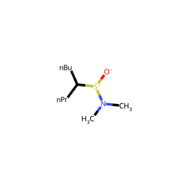 CCCCC(CCC)[S+]([O-])N(C)C